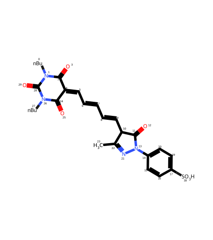 CCCCN1C(=O)C(=C/C=C/C=C/C2C(=O)N(c3ccc(S(=O)(=O)O)cc3)N=C2C)C(=O)N(CCCC)C1=O